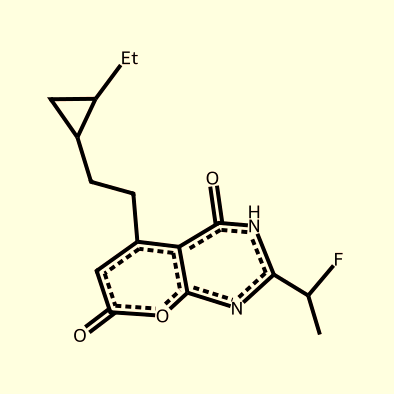 CCC1CC1CCc1cc(=O)oc2nc(C(C)F)[nH]c(=O)c12